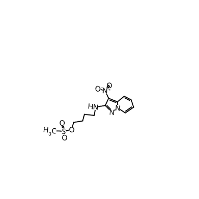 CS(=O)(=O)OCCCCNc1nn2ccccc2c1[N+](=O)[O-]